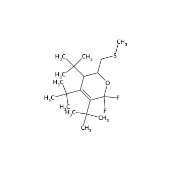 CSCC1OC(F)(F)C(C(C)(C)C)=C(C(C)(C)C)C1C(C)(C)C